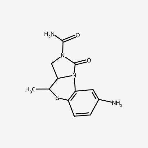 CC1Sc2ccc(N)cc2N2C(=O)N(C(N)=O)CC12